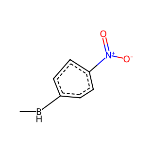 CBc1ccc([N+](=O)[O-])cc1